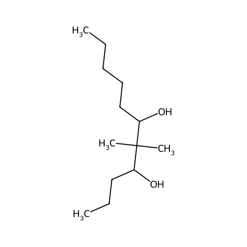 CCCCCC(O)C(C)(C)C(O)CCC